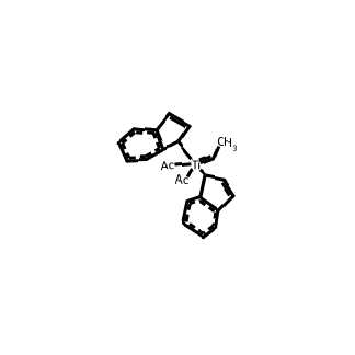 C[CH]=[Ti]([C](C)=O)([C](C)=O)([CH]1C=Cc2ccccc21)[CH]1C=Cc2ccccc21